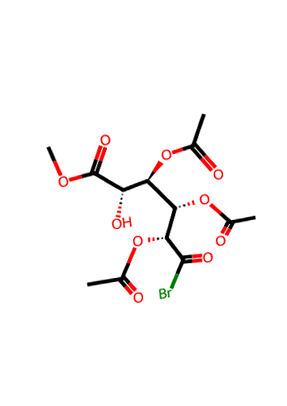 COC(=O)[C@@H](O)[C@@H](OC(C)=O)[C@H](OC(C)=O)[C@@H](OC(C)=O)C(=O)Br